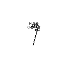 CCCCCCCCCCCCCCCCNC(=O)c1cc2c(cc1F)S(=O)(=O)C[C@H](N)C(=O)N2Cc1ccc(Cl)cc1